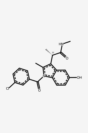 CNC(=O)[C@@H](C)c1c(C)n(C(=O)c2cccc(Cl)c2)c2ccc(O)cc12